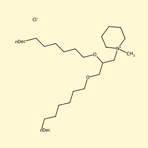 CCCCCCCCCCCCCCCCOCC(C[N+]1(C)CCCCC1)OCCCCCCCCCCCCCCCC.[Cl-]